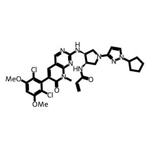 C=CC(=O)N[C@@H]1CN(c2ccn(C3CCCC3)n2)C[C@@H]1Nc1ncc2cc(-c3c(Cl)c(OC)cc(OC)c3Cl)c(=O)n(C)c2n1